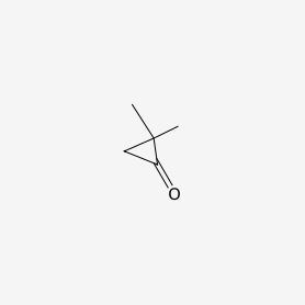 CC1(C)CC1=O